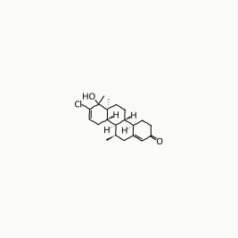 C[C@@H]1CC2=CC(=O)CC[C@@H]2[C@H]2CC[C@@]3(C)[C@@H](CC=C(Cl)C3(C)O)[C@@H]21